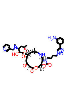 CC[C@H]1OC(=O)[C@H](C)C(=O)[C@H](C)[C@@H](O[C@@H]2OC(C)CC(N(C)Cc3cccnc3)C2O)[C@](C)(OC)C[C@@H](C)CN[C@H](C)[C@H]2N(CCCCn3cc(-c4cccc(N)c4)nn3)C(=O)O[C@]12C